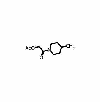 CC(=O)OCC(=O)N1CCC(C)CC1